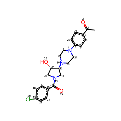 CC(=O)c1ccc(N2CCN([C@H]3CN(C(=O)c4ccc(Cl)cc4)C[C@@H]3O)CC2)cc1